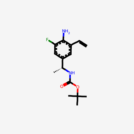 C=Cc1cc([C@@H](C)NC(=O)OC(C)(C)C)cc(F)c1N